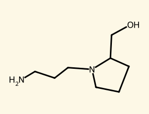 NCCCN1CCCC1CO